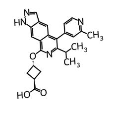 Cc1cc(-c2c(C(C)C)nc(O[C@H]3C[C@H](C(=O)O)C3)c3cc4[nH]ncc4cc23)ccn1